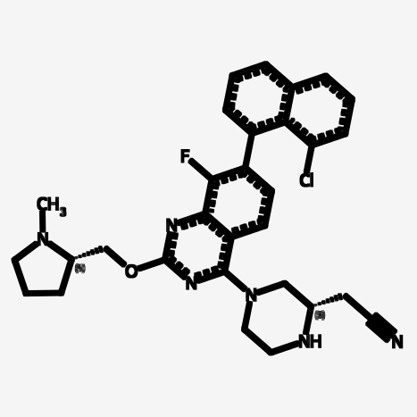 CN1CCC[C@H]1COc1nc(N2CCN[C@@H](CC#N)C2)c2ccc(-c3cccc4cccc(Cl)c34)c(F)c2n1